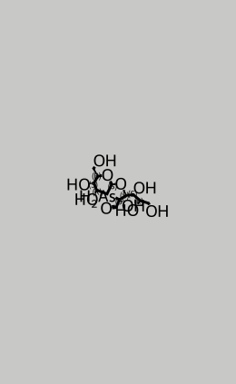 O=C[C@@](O)([AsH2])[C@@H](O[C@H]1C[C@@H](O)[C@H](O)[C@@H](CO)O1)[C@@H](O)[C@H](O)CO